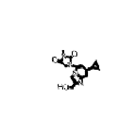 CN1C(=O)CN(c2cc(C3CC3)cc3nc(CO)cn23)C1=O